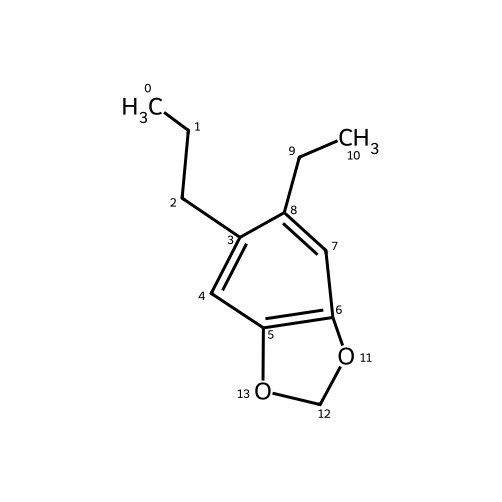 CCCc1cc2c(cc1CC)OCO2